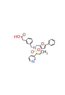 C=CC(c1cccnc1)S(=O)(=O)N(Cc1cccc(CC(=O)O)c1)Cc1ccc(-c2ccccc2)o1